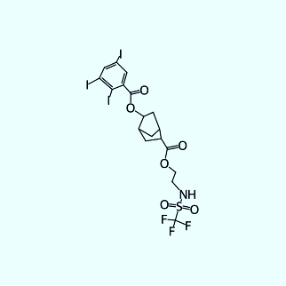 O=C(OC1CC2CC1CC2C(=O)OCCNS(=O)(=O)C(F)(F)F)c1cc(I)cc(I)c1I